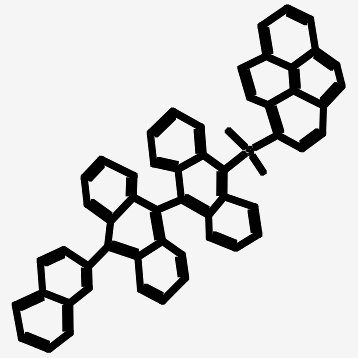 C[Si](C)(c1c2ccccc2c(-c2c3ccccc3c(-c3ccc4ccccc4c3)c3ccccc23)c2ccccc12)c1ccc2ccc3cccc4ccc1c2c34